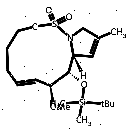 CO[C@H]1/C=C/CCCCS(=O)(=O)N2CC(C)=C[C@@H]2[C@@H]1O[Si](C)(C)C(C)(C)C